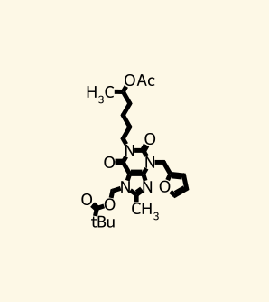 CC(=O)OC(C)CCCCn1c(=O)c2c(nc(C)n2COC(=O)C(C)(C)C)n(Cc2ccco2)c1=O